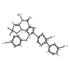 CCN1C(=O)c2nc(-c3cnc(-c4ccnc(F)c4)c(F)c3)n(Cc3ccc(F)cc3)c2N2CC(C)(C)N=C12